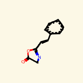 O=C1[C]N=C(C=Cc2ccccc2)O1